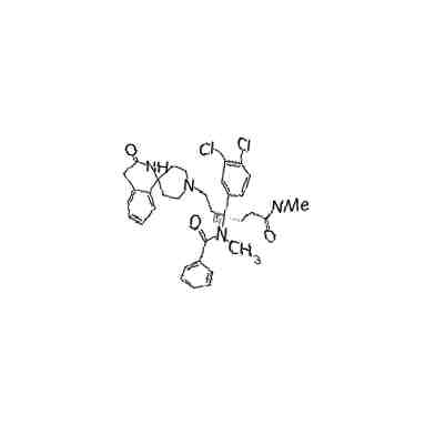 CNC(=O)CC[C@](CCN1CCC2(CC1)NC(=O)Cc1ccccc12)(c1ccc(Cl)c(Cl)c1)N(C)C(=O)c1ccccc1